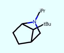 CC(C)N1CC2CCC1C2C(C)(C)C